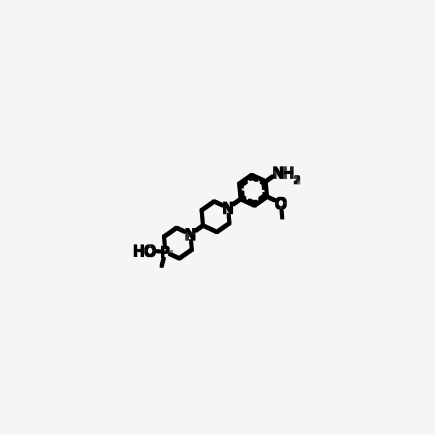 COc1cc(N2CCC(N3CC[P](C)(O)CC3)CC2)ccc1N